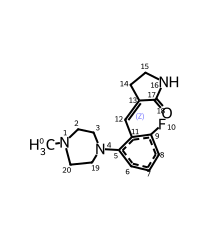 CN1CCN(c2cccc(F)c2/C=C2/CCNC2=O)CC1